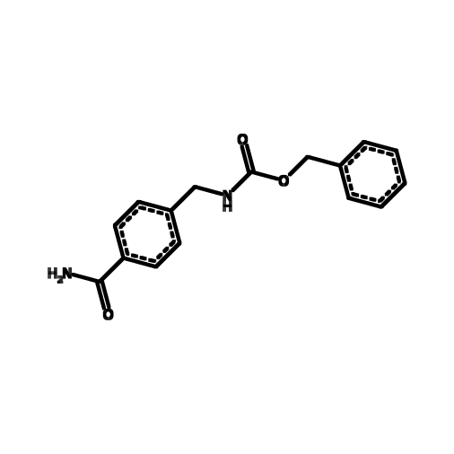 NC(=O)c1ccc(CNC(=O)OCc2ccccc2)cc1